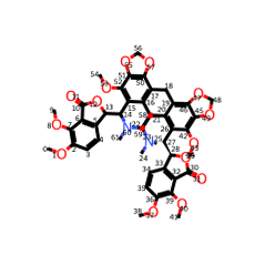 COc1ccc2c(c1OC)C(=O)OC2C1c2c(c(Cc3c(CCN(C)C)c(C[C@H]4OC(=O)c5c4ccc(OC)c5OC)c(OC)c4c3OCO4)c3c(c2OC)OCO3)CCN1C